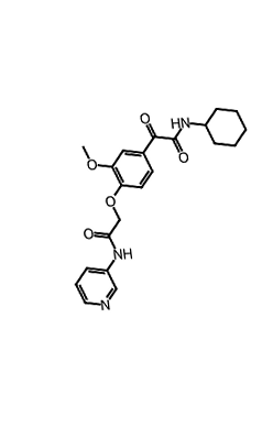 COc1cc(C(=O)C(=O)NC2CCCCC2)ccc1OCC(=O)Nc1cccnc1